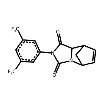 O=C1C2C3C=CC(C3)N2C(=O)N1c1cc(C(F)(F)F)cc(C(F)(F)F)c1